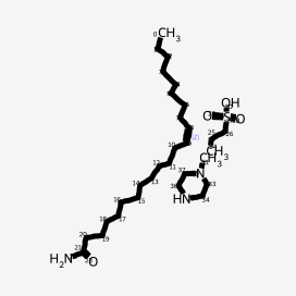 CCCCCCCC/C=C\CCCCCCCCCCCC(N)=O.CCCS(=O)(=O)O.CN1CCNCC1